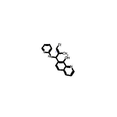 CC/C=C(\C)C(Nc1ccccn1)c1ccc2cccnc2c1O